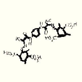 CC(=O)C(N=Nc1c(C(=O)O)cc(C)c(C(=O)O)c1C)C(=O)Nc1ccc(NC(=O)C(N=Nc2c(C(=O)O)cc(C)c(C(=O)O)c2C)C(C)=O)cc1